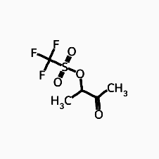 CC(=O)C(C)OS(=O)(=O)C(F)(F)F